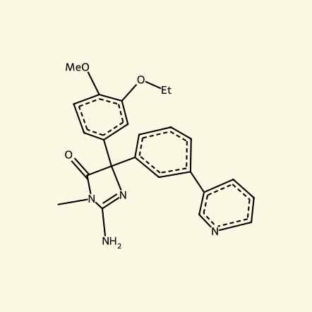 CCOc1cc(C2(c3cccc(-c4cccnc4)c3)N=C(N)N(C)C2=O)ccc1OC